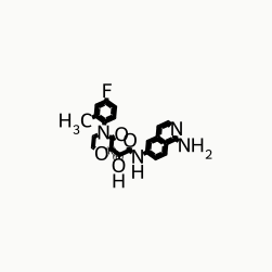 Cc1cc(F)ccc1N1CCO[C@H]([C@@H](O)C(=O)Nc2ccc3c(N)nccc3c2)C1=O